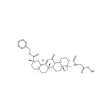 CC(C)(C)OC(=O)CNC(=O)[C@H]1CC[C@]2(C)C3C(=O)C=C4[C@@H]5C[C@@](C)(C(=O)OCc6ccccc6)CC[C@]5(C)CC[C@@]4(C)[C@]3(C)CC[C@H]2C1(C)C